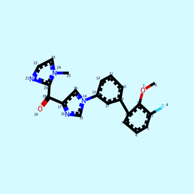 COc1c(F)cccc1-c1cccc(-n2cnc(C(=O)c3nccn3C)c2)c1